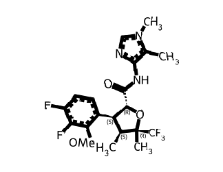 COc1c([C@H]2[C@H](C(=O)Nc3ncn(C)c3C)O[C@@](C)(C(F)(F)F)[C@H]2C)ccc(F)c1F